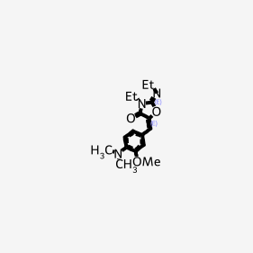 CC/N=C1/O/C(=C/c2ccc(N(C)C)c(OC)c2)C(=O)N1CC